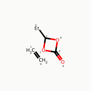 C=C.CCC1OC(=O)O1